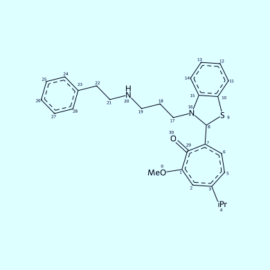 COc1cc(C(C)C)ccc(C2Sc3ccccc3N2CCCNCCc2ccccc2)c1=O